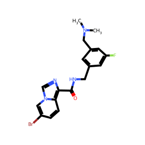 CN(C)Cc1cc(F)cc(CNC(=O)c2ncn3cc(Br)ccc23)c1